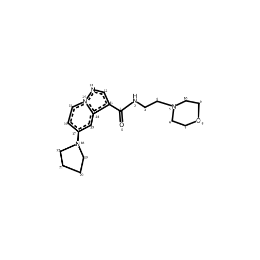 O=C(NCCN1CCOCC1)c1cnn2ccc(N3CCCC3)cc12